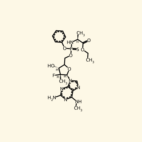 CCOC(=O)[C@H](C)NP(=S)(OCC1O[C@@H](n2cnc3c(NC)nc(N)nc32)[C@](C)(F)[C@@H]1O)Oc1ccccc1